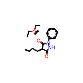 C=C.CCCCC1C(=O)NN(c2ccccc2)C1=O.CCOCC